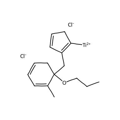 CCCOC1(CC2=[C]([Ti+2])CC=C2)CC=CC=C1C.[Cl-].[Cl-]